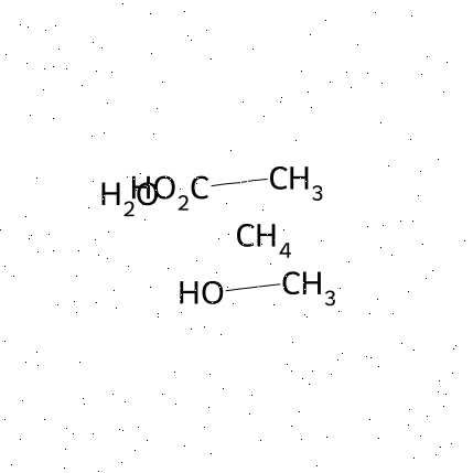 C.CC(=O)O.CO.O